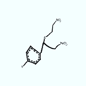 O=[N+]([O-])CCSC(C[N+](=O)[O-])c1ccc(F)cc1